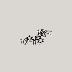 CC1(C)CCCC(Nc2ncc(C(=O)NC(C)(C)CO)c3c2CCCC3)C1